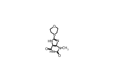 Cn1c(=O)[nH]c(=O)c2[nH]c(N3CCOCC3)nc21